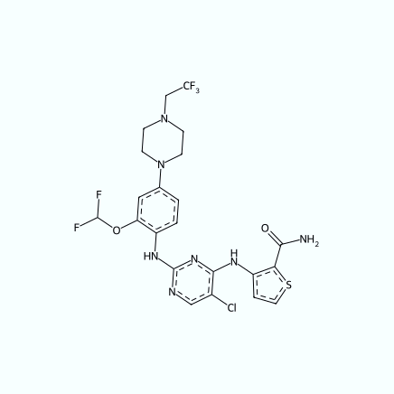 NC(=O)c1sccc1Nc1nc(Nc2ccc(N3CCN(CC(F)(F)F)CC3)cc2OC(F)F)ncc1Cl